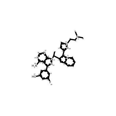 CC(c1cc2ccccn2c1-c1ccn(CCN(C)C)n1)n1nc(-c2cc(O)cc(F)c2)c2c(N)ncnc21